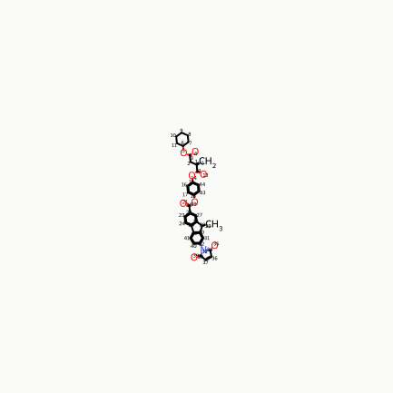 C=C(CC(=O)OC1CCCCC1)C(=O)Oc1ccc(OC(=O)c2ccc3c(c2)C(C)c2cc(N4C(=O)C=CC4=O)ccc2-3)cc1